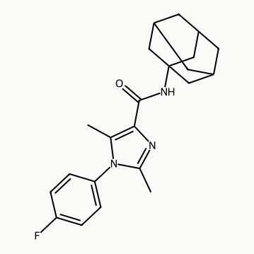 Cc1nc(C(=O)NC23CC4CC(CC(C4)C2)C3)c(C)n1-c1ccc(F)cc1